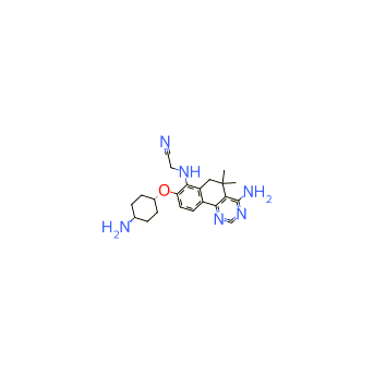 CC1(C)Cc2c(ccc(O[C@H]3CC[C@H](N)CC3)c2NCC#N)-c2ncnc(N)c21